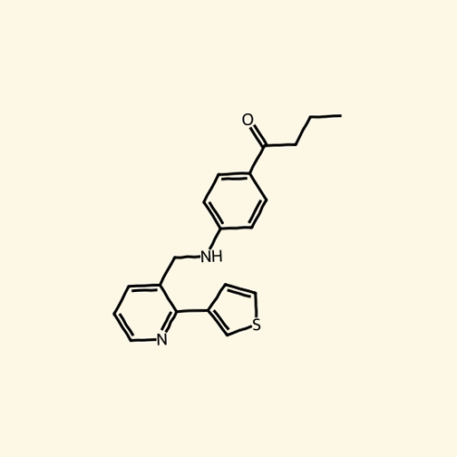 CCCC(=O)c1ccc(NCc2cccnc2-c2ccsc2)cc1